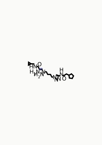 N/C(=C\N(N)CCCCn1cc(NC(=O)CC2CCCC2)nn1)C(=O)NCC1CC1